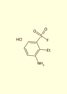 CCc1c(N)cccc1S(=O)(=O)F.Cl